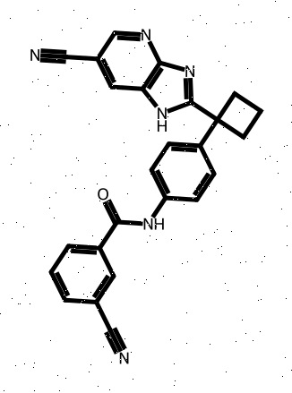 N#Cc1cccc(C(=O)Nc2ccc(C3(c4nc5ncc(C#N)cc5[nH]4)CCC3)cc2)c1